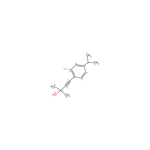 CC(C)c1ccc(C#CC(C)(C)O)c(F)c1